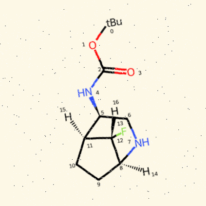 CC(C)(C)OC(=O)N[C@H]1CN[C@H]2CC[C@@H]1[C@@H]2F